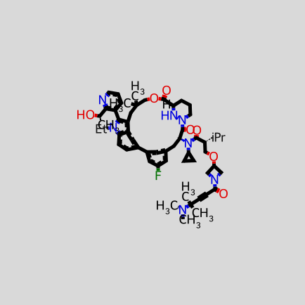 CCn1c(-c2cccnc2[C@H](C)O)c2c3cc(ccc31)-c1cc(F)cc(c1)C[C@H](N(C(=O)[C@@H](COC1CN(C(=O)C#CC(C)(C)N(C)C)C1)C(C)C)C1CC1)C(=O)N1CCC[C@H](N1)C(=O)OCC(C)(C)C2